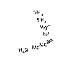 [Mg+2].[Mg+2].[Mg+2].[N-3].[N-3].[SiH4].[SiH4].[SiH4]